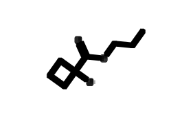 CCCOC(=O)C1([O])CCC1